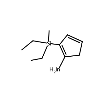 CC[Si](C)(CC)C1=[C]([InH2])CC=C1